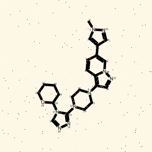 Cn1cc(-c2ccc3c(N4CCN(c5nncn5C5CCCCO5)CC4)cnn3c2)cn1